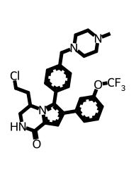 CN1CCN(Cc2ccc(-c3c(-c4cccc(OC(F)(F)F)c4)cc4n3C(CCCl)CNC4=O)cc2)CC1